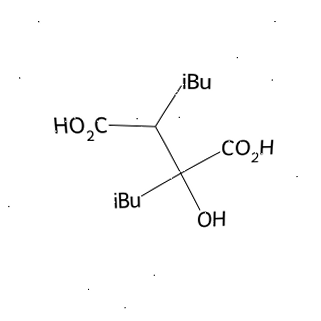 CCC(C)C(C(=O)O)C(O)(C(=O)O)C(C)CC